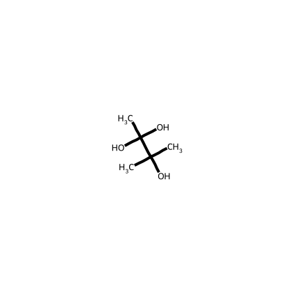 CC(C)(O)C(C)(O)O